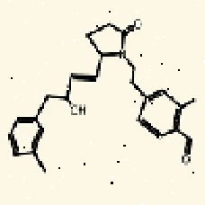 Cc1cccc(C[C@H](O)/C=C/[C@H]2CCC(=O)N2CCc2ccc(C=O)c(C)c2)c1